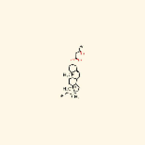 CC(C)CC(C)[C@H]1CCC2C3CC=C4CC(OC(=O)CC(=O)C(C)C)CC[C@]4(C)C3CC[C@@]21C